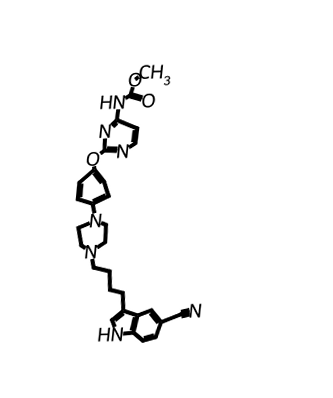 COC(=O)Nc1ccnc(Oc2ccc(N3CCN(CCCCc4c[nH]c5ccc(C#N)cc45)CC3)cc2)n1